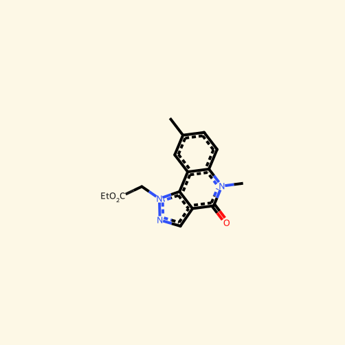 CCOC(=O)Cn1ncc2c(=O)n(C)c3ccc(C)cc3c21